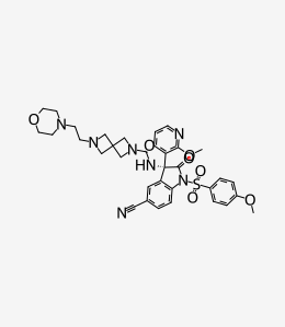 COc1ccc(S(=O)(=O)N2C(=O)[C@](NC(=O)N3CC4(CN(CCN5CCOCC5)C4)C3)(c3cccnc3OC)c3cc(C#N)ccc32)cc1